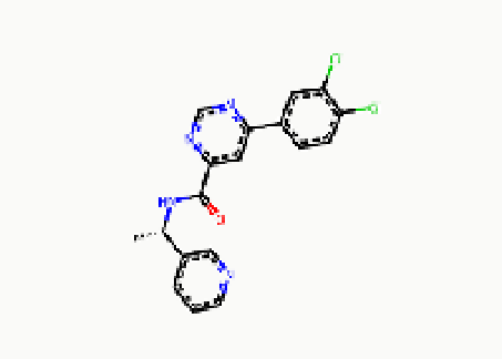 C[C@H](NC(=O)c1cc(-c2ccc(Cl)c(Cl)c2)ncn1)c1cccnc1